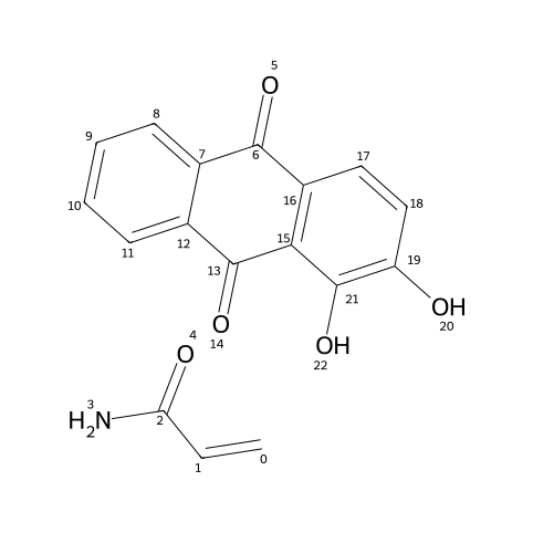 C=CC(N)=O.O=C1c2ccccc2C(=O)c2c1ccc(O)c2O